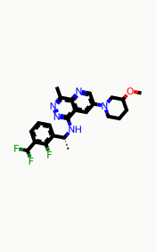 COC1CCCN(c2cnc3c(C)nnc(N[C@H](C)c4cccc(C(F)F)c4F)c3c2)C1